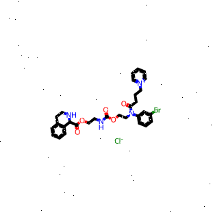 O=C(NCCOC(=O)C1NCCc2ccccc21)OCCN(C(=O)CCC[n+]1ccccc1)c1cccc(Br)c1.[Cl-]